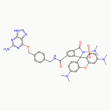 CN(C)c1ccc2c(c1)Oc1cc(N(C)C)ccc1C21c2cc(C(=O)NCc3ccc(COc4nc(N)nc5[nH]cnc45)cc3)ccc2C(=O)N1S(=O)(=O)N(C)C